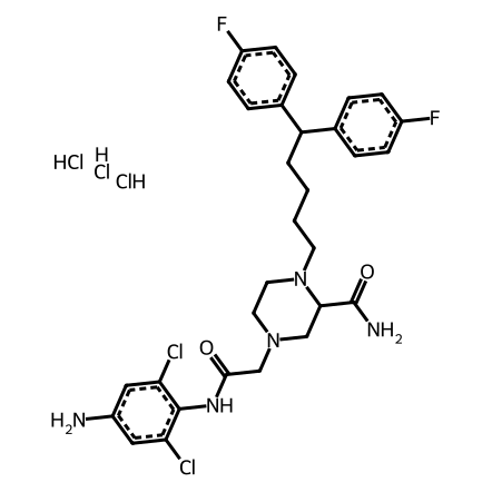 Cl.Cl.Cl.NC(=O)C1CN(CC(=O)Nc2c(Cl)cc(N)cc2Cl)CCN1CCCCC(c1ccc(F)cc1)c1ccc(F)cc1